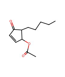 CCCCCC1C(=O)C=CC1OC(C)=O